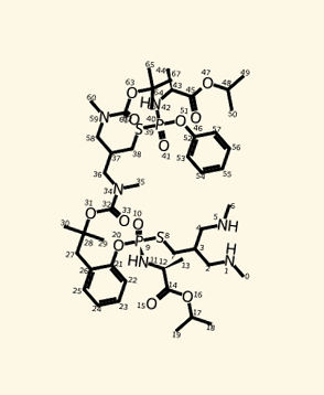 CNCC(CNC)CS[P@](=O)(N[C@@H](C)C(=O)OC(C)C)Oc1ccccc1CC(C)(C)OC(=O)N(C)CC(CSP(=O)(N[C@@H](C)C(=O)OC(C)C)Oc1ccccc1)CN(C)C(=O)OC(C)(C)C